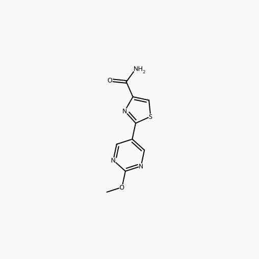 COc1ncc(-c2nc(C(N)=O)cs2)cn1